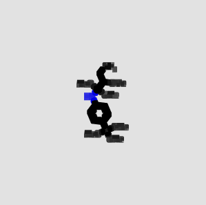 COC(C[SiH3])C(Nc1ccc([Si](OC)(OC)OC)cc1)(OC)OC